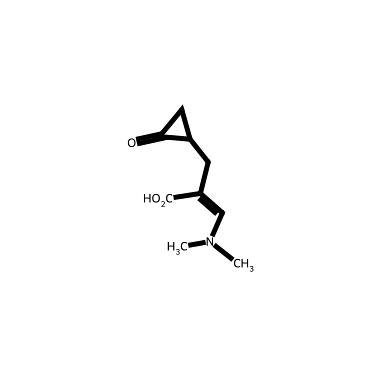 CN(C)/C=C(/CC1CC1=O)C(=O)O